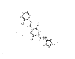 Fc1cc(OCc2ccccc2Cl)c(Cl)cc1SNc1cscn1